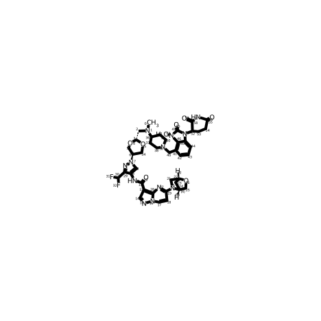 CN(C[C@H]1OC[C@H](n2cc(NC(=O)c3cnn4ccc(N5C[C@H]6C[C@@H]5CO6)nc34)c(C(F)F)n2)CO1)C1CCN(Cc2cccc3c2n(C)c(=O)n3C2CCC(=O)NC2=O)CC1